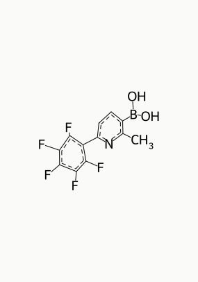 Cc1nc(-c2c(F)c(F)c(F)c(F)c2F)ccc1B(O)O